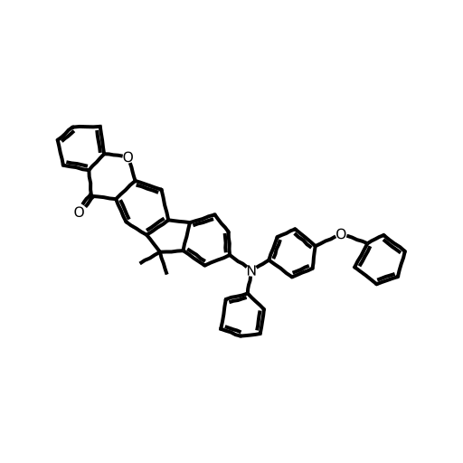 CC1(C)c2cc(N(c3ccccc3)c3ccc(Oc4ccccc4)cc3)ccc2-c2cc3oc4ccccc4c(=O)c3cc21